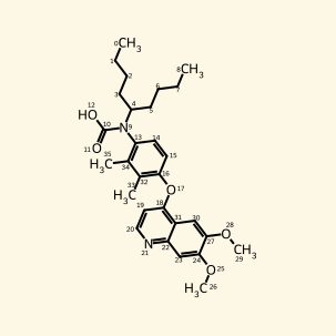 CCCCC(CCCC)N(C(=O)O)c1ccc(Oc2ccnc3cc(OC)c(OC)cc23)c(C)c1C